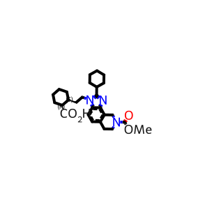 COC(=O)N1CCc2ccc3c(nc(C4CCCCC4)n3CC[C@@H]3CCCC[C@H]3C(=O)O)c2C1